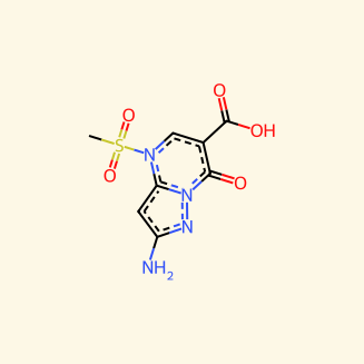 CS(=O)(=O)n1cc(C(=O)O)c(=O)n2nc(N)cc12